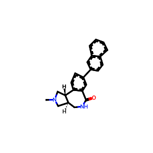 CN1C[C@@H]2CNC(=O)c3cc(-c4ccc5ccccc5c4)ccc3[C@H]2C1